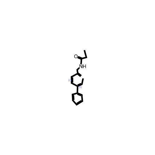 C=C(/C=C\C(=C/C)c1ccccc1)CNC(=O)CC